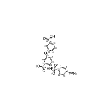 N#Cc1ccc(S(=O)(=O)Nc2ccc(Oc3cccc(C(=O)O)c3)cc2C(=O)O)cc1